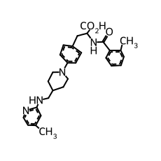 Cc1ccnc(NCC2CCN(c3ccc(CC(NC(=O)c4ccccc4C)C(=O)O)cc3)CC2)c1